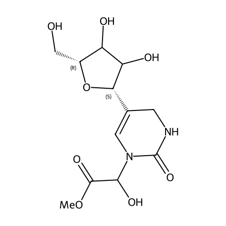 COC(=O)C(O)N1C=C([C@@H]2O[C@H](CO)C(O)C2O)CNC1=O